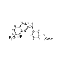 CSCc1cccc(Nc2ncc3ccc(C(F)(F)F)c(F)c3n2)c1